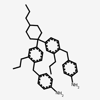 CCCc1cc(C2(c3ccc(Cc4ccc(N)cc4)c(CCC)c3)CCC(CCC)CC2)ccc1Cc1ccc(N)cc1